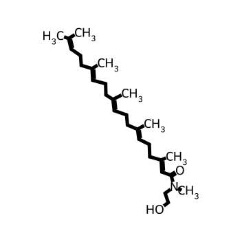 CC(C)=CCC/C(C)=C/CC/C(C)=C/CC/C(C)=C/CC/C(C)=C/C(=O)N(C)CCO